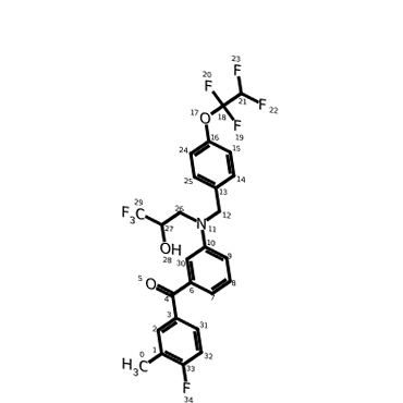 Cc1cc(C(=O)c2cccc(N(Cc3ccc(OC(F)(F)C(F)F)cc3)CC(O)C(F)(F)F)c2)ccc1F